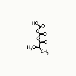 C=C(C)C(=O)OC(=O)OC(=O)O